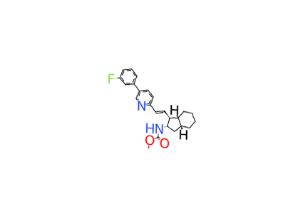 COC(=O)N[C@H]1C[C@H]2CCCC[C@H]2[C@@H]1/C=C/c1ccc(-c2cccc(F)c2)cn1